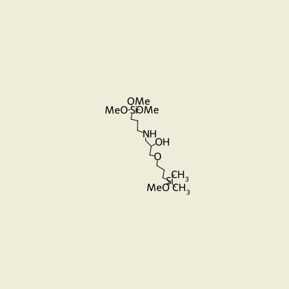 CO[Si](C)(C)CCCOCC(O)CNCCC[Si](OC)(OC)OC